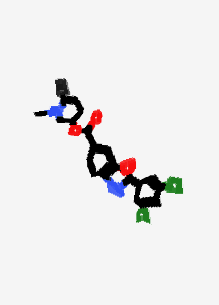 CCC1CCC(OC(=O)c2ccc3nc(-c4cc(Cl)cc(Cl)c4)oc3c2)CN1C